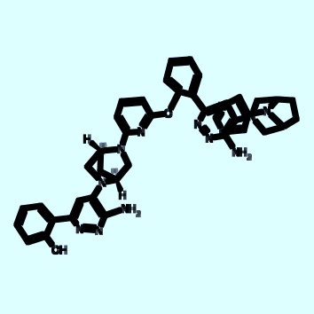 Nc1nnc(-c2ccccc2Oc2cccc(N3C[C@H]4C[C@@H]3CN4c3cc(-c4ccccc4O)nnc3N)n2)cc1N1CC2CCC(C1)N2c1cncnc1